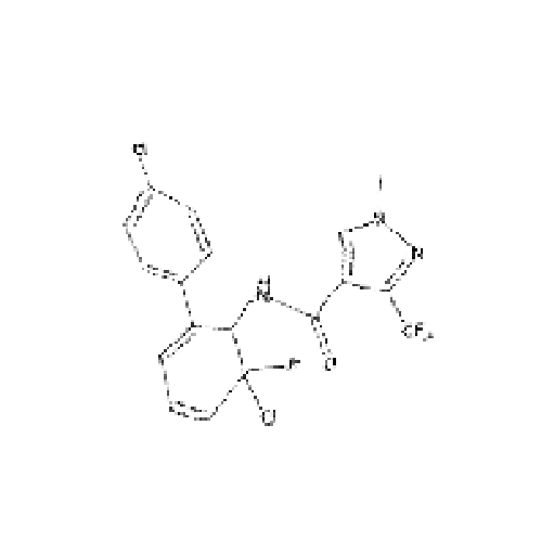 Cn1cc(C(=O)NC2C(c3ccc(Cl)cc3)=CC=CC2(F)Cl)c(C(F)(F)F)n1